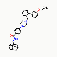 CCOc1cccc(-c2ccccc2CN2CCN(c3ccc(C(=O)NCC45CC6CC(CC(C6)C4)C5)cc3)CC2)c1